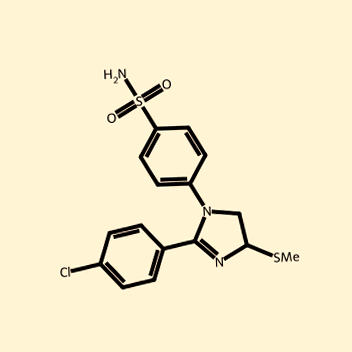 CSC1CN(c2ccc(S(N)(=O)=O)cc2)C(c2ccc(Cl)cc2)=N1